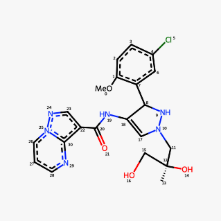 COc1ccc(Cl)cc1C1NN(C[C@@](C)(O)CO)C=C1NC(=O)c1cnn2cccnc12